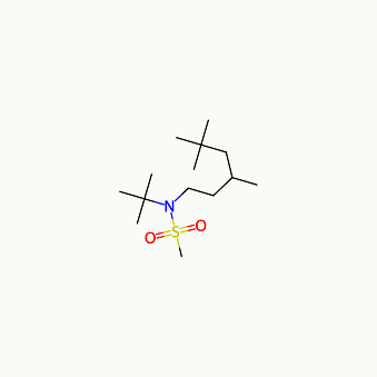 CC(CCN(C(C)(C)C)S(C)(=O)=O)CC(C)(C)C